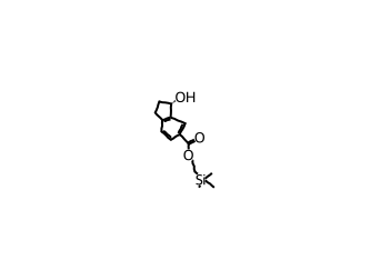 C[Si](C)(C)CCOC(=O)c1ccc2c(c1)[C@@H](O)CC2